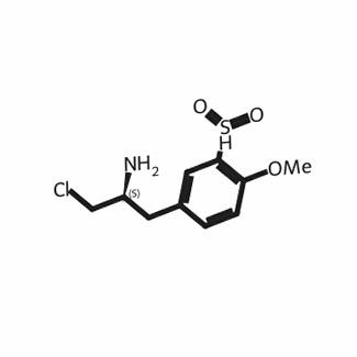 COc1ccc(C[C@H](N)CCl)cc1[SH](=O)=O